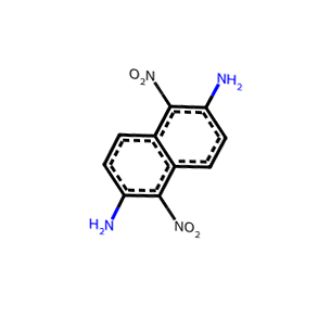 Nc1ccc2c([N+](=O)[O-])c(N)ccc2c1[N+](=O)[O-]